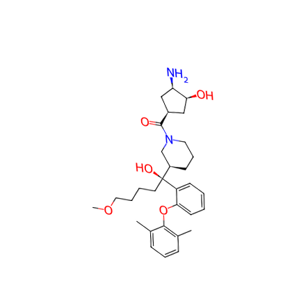 COCCCC[C@@](O)(c1ccccc1Oc1c(C)cccc1C)[C@@H]1CCCN(C(=O)[C@H]2C[C@@H](N)[C@@H](O)C2)C1